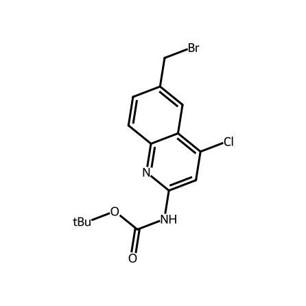 CC(C)(C)OC(=O)Nc1cc(Cl)c2cc(CBr)ccc2n1